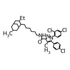 CCC1CC2CC(C)CC(C2)C1CCCCCCNC(=O)c1nn(-c2ccc(Cl)cc2Cl)c(-c2ccc(Cl)cc2)c1C